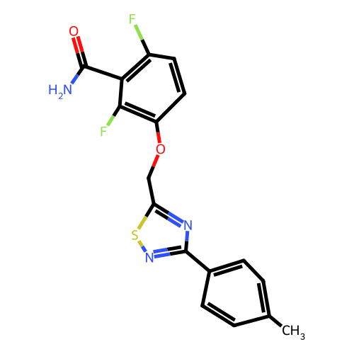 Cc1ccc(-c2nsc(COc3ccc(F)c(C(N)=O)c3F)n2)cc1